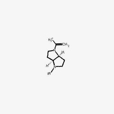 C=C(C)N1CC[C@H]2[C@@H]1CCN2C(C)C